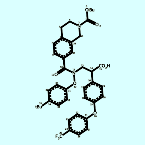 CC(C)COC(=O)N1CCc2ccc(C(=O)N(CC(C(=O)O)c3ccc(Oc4ccc(C(F)(F)F)cc4)cc3)Oc3ccc(C(C)(C)C)cc3)cc2C1